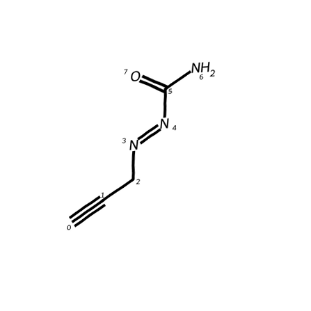 C#CCN=NC(N)=O